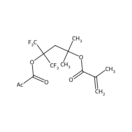 C=C(C)C(=O)OC(C)(C)CC(OC(=O)C(C)=O)(C(F)(F)F)C(F)(F)F